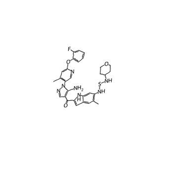 Cc1cc2cc(C(=O)c3cnn(-c4cnc(Oc5ccccc5F)cc4C)c3N)[nH]c2cc1NSNC1CCOCC1